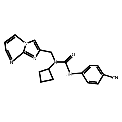 N#Cc1ccc(NC(=O)N(Cc2cn3cccnc3n2)C2CCC2)cc1